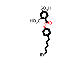 CC(C)CCCCCc1ccc(OC(=O)c2ccc(S(=O)(=O)O)cc2C(=O)O)cc1